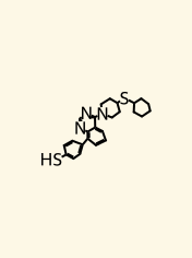 Sc1ccc(-c2cccc3c(N4CCC(SC5CCCCC5)CC4)ncnc23)cc1